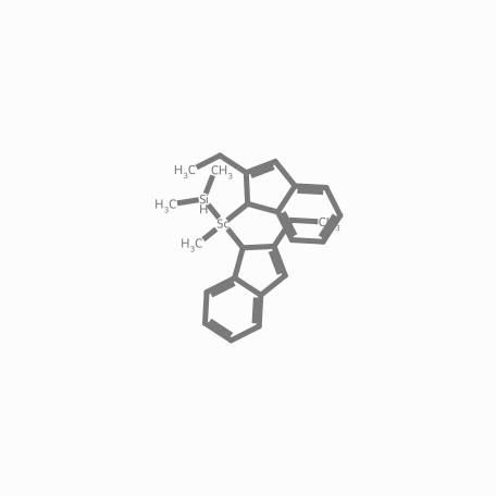 CCC1=Cc2ccccc2[CH]1[Sc]([CH3])([CH]1C(CC)=Cc2ccccc21)[SiH](C)C